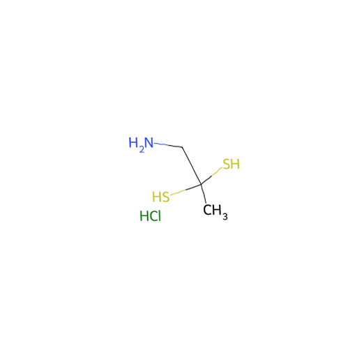 CC(S)(S)CN.Cl